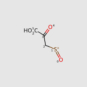 O=[S+]CC(=O)C(=O)O